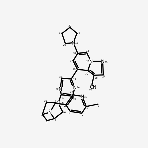 Cc1ccc(CN2C3CC2CN(c2cnc(-c4cc(N5CCCC5)cn5ncc(C#N)c45)cn2)C3)cn1